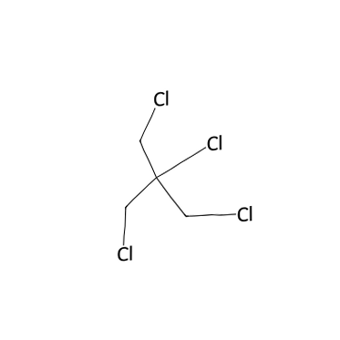 ClCC(Cl)(CCl)CCl